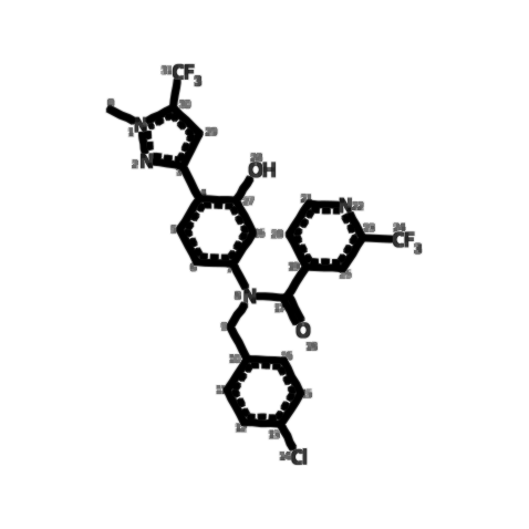 Cn1nc(-c2ccc(N(Cc3ccc(Cl)cc3)C(=O)c3ccnc(C(F)(F)F)c3)cc2O)cc1C(F)(F)F